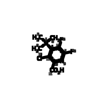 C[Si](C)(C)c1c(F)c(F)nc(C(=O)O)c1Cl